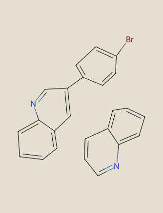 Brc1ccc(-c2cnc3ccccc3c2)cc1.c1ccc2ncccc2c1